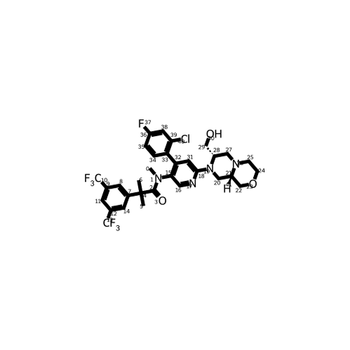 CN(C(=O)C(C)(C)c1cc(C(F)(F)F)cc(C(F)(F)F)c1)c1cnc(N2C[C@H]3COCCN3C[C@H]2CO)cc1-c1ccc(F)cc1Cl